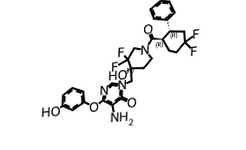 Nc1c(Oc2cccc(O)c2)ncn(C[C@]2(O)CCN(C(=O)[C@@H]3CCC(F)(F)C[C@H]3c3ccccc3)CC2(F)F)c1=O